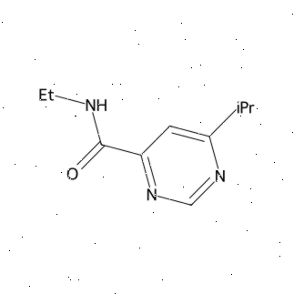 CCNC(=O)c1cc(C(C)C)ncn1